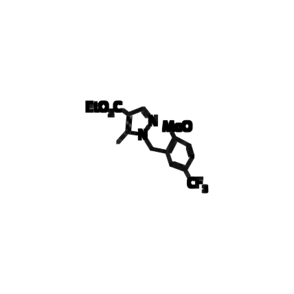 CCOC(=O)c1cnn(Cc2cc(C(F)(F)F)ccc2OC)c1C